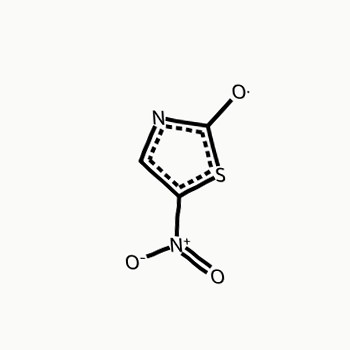 [O]c1ncc([N+](=O)[O-])s1